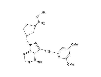 COc1cc(C#Cc2nn(CC3CCN(C(=O)OC(C)(C)C)C3)c3ncnc(N)c23)cc(OC)c1